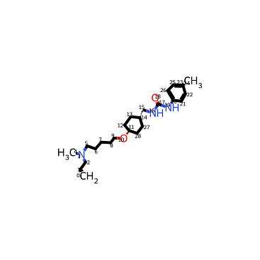 C=CCN(C)CCCCCO[C@H]1CC[C@H](CNC(=O)Nc2ccc(C)cc2)CC1